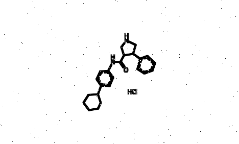 Cl.O=C(Nc1ccc(C2CCCCC2)cc1)C1CNCC1c1ccccc1